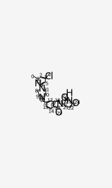 Cc1cc(Cl)cc(N2CCN(Cc3ccc4c(c3)CN(C3CCC(=O)NC3=O)C4=O)CC2)n1